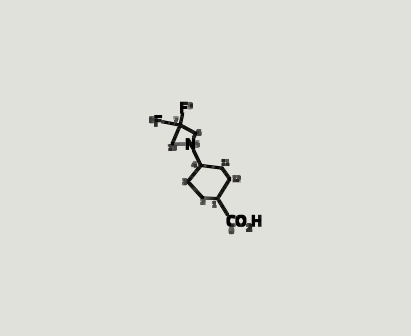 O=C(O)C1CCC(N2CC(F)(F)C2)CC1